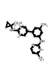 Cc1cc(Nc2nccc(C(F)(F)F)n2)cc(-c2cnc(NC3(C(=O)O)CC3)nc2)c1